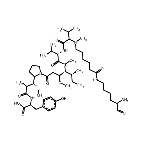 CC[C@H](C)[C@@H](C(CC(=O)N1CCCC1[C@H](OC)C(C)C(=O)N[C@@H](Cc1ccc(O)cc1)C(=O)O)OC)N(C)C(=O)[C@@H](NC(=O)C(C(C)C)N(C)CCCCCC(=O)NCCCCC(N)C=O)C(C)C